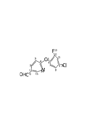 O=Cc1ccc(Oc2ccc(Cl)cc2F)nc1